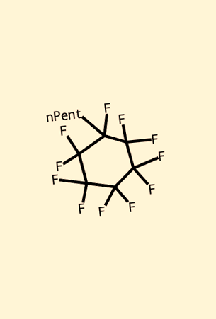 CCCCCC1(F)C(F)(F)C(F)(F)C(F)(F)C(F)(F)C1(F)F